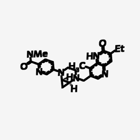 CCc1cc2ncc(CN3CCN(c4ccc(C(=O)NC)nc4)[C@@H]4C[C@@H]43)c(C)c2[nH]c1=O